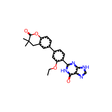 CCOc1cc(-c2ccc3c(c2)CC(C)(C)C(=O)O3)ccc1-c1nc2[nH]cnc2c(=O)[nH]1